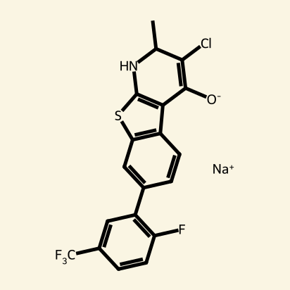 CC1Nc2sc3cc(-c4cc(C(F)(F)F)ccc4F)ccc3c2C([O-])=C1Cl.[Na+]